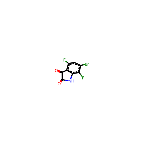 O=C1Nc2c(F)c(Br)cc(F)c2C1=O